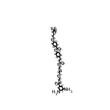 Nc1cc(N)cc(C(=O)OCCOCCOCCOC(=O)/C=C/c2ccc(OC(=O)c3ccc(OCCCCC(F)(F)F)cc3)cc2)c1